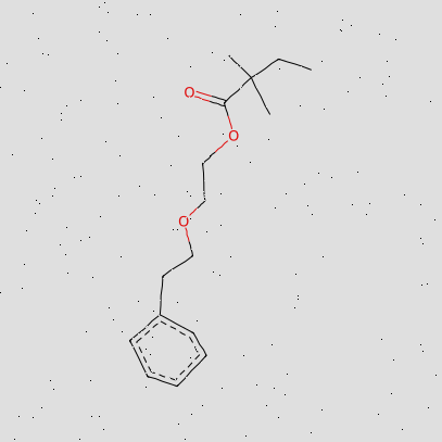 CCC(C)(C)C(=O)OCCOCCc1ccccc1